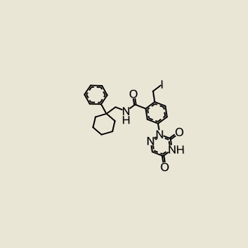 O=C(NCC1(c2ccccc2)CCCCC1)c1cc(-n2ncc(=O)[nH]c2=O)ccc1CI